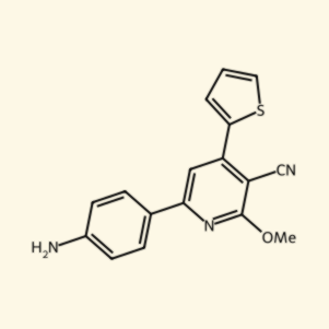 COc1nc(-c2ccc(N)cc2)cc(-c2cccs2)c1C#N